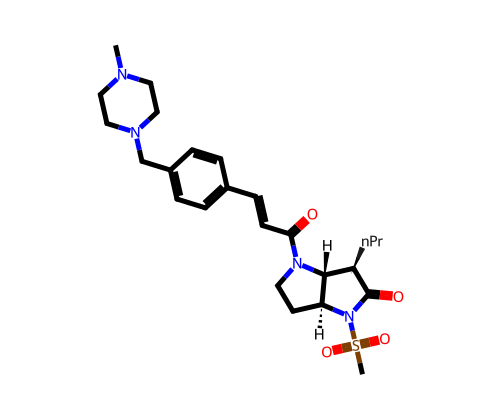 CCC[C@H]1C(=O)N(S(C)(=O)=O)[C@H]2CCN(C(=O)/C=C/c3ccc(CN4CCN(C)CC4)cc3)[C@H]12